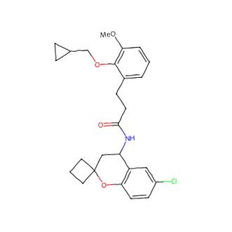 COc1cccc(CCC(=O)NC2CC3(CCC3)Oc3ccc(Cl)cc32)c1OCC1CC1